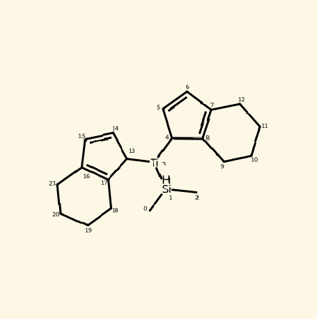 C[SiH](C)[Ti]([CH]1C=CC2=C1CCCC2)[CH]1C=CC2=C1CCCC2